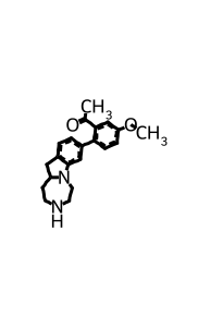 COc1ccc(-c2ccc3c(c2)N2CCNCCC2C3)c(C(C)=O)c1